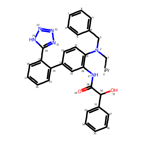 CC(C)CN(Cc1ccccc1)c1ccc(-c2ccccc2-c2nnn[nH]2)cc1NC(=O)C(O)c1ccccc1